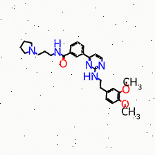 COc1ccc(CCNc2nccc(-c3cccc(C(=O)NCCCN4CCCC4)c3)n2)cc1OC